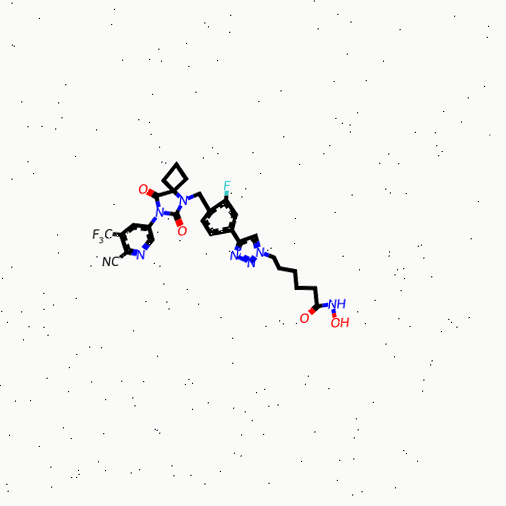 N#Cc1ncc(N2C(=O)N(Cc3ccc(-c4cn(CCCCCC(=O)NO)nn4)cc3F)C3(CCC3)C2=O)cc1C(F)(F)F